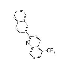 FC(F)(F)c1cccc2nc(-c3ccc4ccccc4c3)ccc12